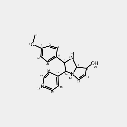 COc1ccc(C2NC3C(O)C=CN3C2c2ccncc2)cc1